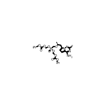 CC(C)OC(=O)OCOP(=O)(CO[C@@H](C)Cc1ccc2c(N)nc(F)nn12)OCOC(=O)OC(C)C